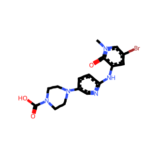 Cn1cc(Br)cc(Nc2ccc(N3CCN(C(=O)O)CC3)cn2)c1=O